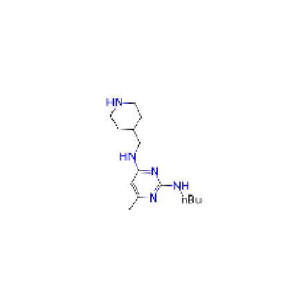 CCCCNc1nc(C)cc(NCC2CCNCC2)n1